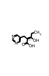 CC/C(O)=C(\Cc1cncnc1)C(=O)O